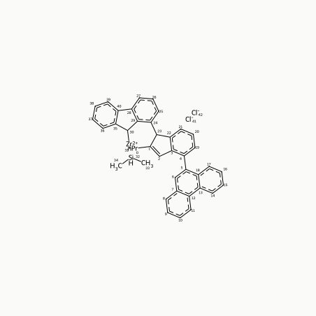 CCCC1=Cc2c(-c3cc4ccccc4c4ccccc34)cccc2C1c1cccc2c1[CH]([Zr+2][SiH](C)C)c1ccccc1-2.[Cl-].[Cl-]